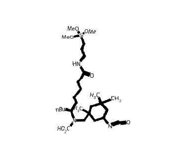 CCCCC(CCCCC(=O)NCCC[Si](OC)(OC)OC)N(CC1(C)CC(N=C=O)CC(C)(C)C1)C(=O)O